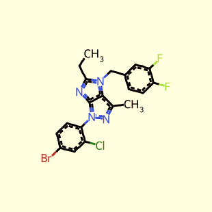 CCc1nc2c(c(C)nn2-c2ccc(Br)cc2Cl)n1Cc1ccc(F)c(F)c1